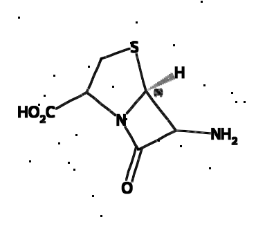 NC1C(=O)N2C(C(=O)O)CS[C@@H]12